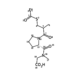 CCC(=O)SCC(C)C(=O)N1CCC[C@H]1C(=O)N(C)CC(=O)O